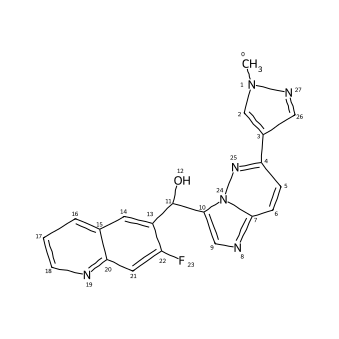 Cn1cc(-c2ccc3ncc(C(O)c4cc5cccnc5cc4F)n3n2)cn1